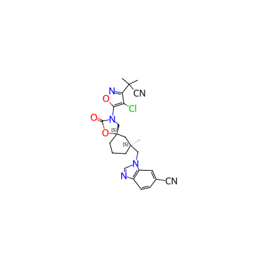 CC(C)(C#N)c1noc(N2C[C@@]3(CCC[C@](C)(Cn4cnc5ccc(C#N)cc54)C3)OC2=O)c1Cl